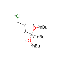 CCCCO[Si](CCCC)(CCCCl)OCCCC